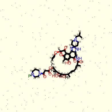 C/C1=C/C=C/C(C)[C@H](O)[C@@H](C)C(O)[C@@H](C)[C@H](OC(=O)CC(=O)N2CCCN(F)CC2)CC/C=C/O[C@@]2(C)Oc3c(C)c(O)c4c(c3C2=O)C2=NC3(CCN(CC(C)C)CC3)NC2=C(NC1=O)C4=O